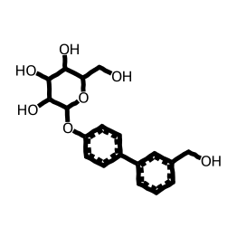 OCc1cccc(-c2ccc(OC3OC(CO)C(O)C(O)C3O)cc2)c1